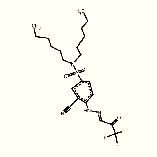 CCCCCCN(CCCCCC)S(=O)(=O)c1ccc(NN=CC(=O)C(F)(F)F)c(C#N)c1